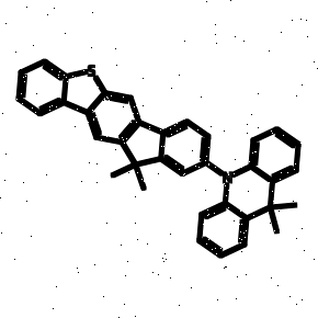 CC1(C)c2cc(N3c4ccccc4C(C)(C)c4ccccc43)ccc2-c2cc3sc4ccccc4c3cc21